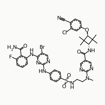 CN(CCNS(=O)(=O)c1ccc(Nc2ncc(Br)c(Nc3cccc(F)c3C(N)=O)n2)cc1)c1ncc(C(=O)N[C@H]2C(C)(C)[C@H](Oc3ccc(C#N)c(Cl)c3)C2(C)C)cn1